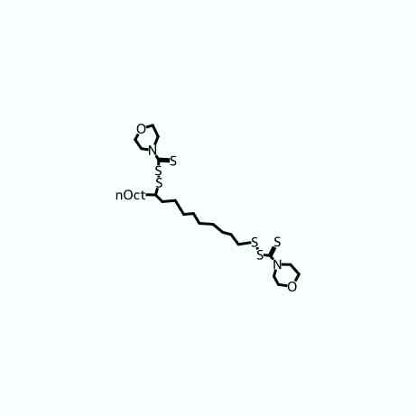 CCCCCCCCC(CCCCCCCCCSSC(=S)N1CCOCC1)SSC(=S)N1CCOCC1